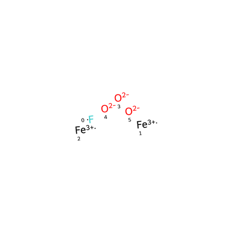 [F].[Fe+3].[Fe+3].[O-2].[O-2].[O-2]